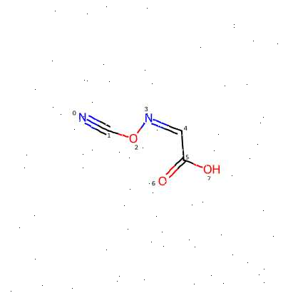 N#CO/N=C\C(=O)O